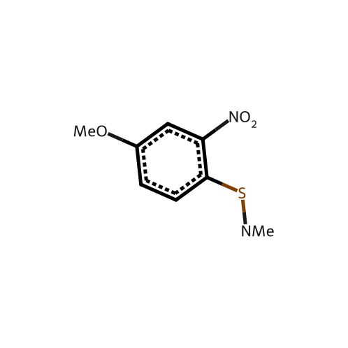 CNSc1ccc(OC)cc1[N+](=O)[O-]